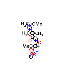 COC[C@H]1CN(c2cc(C)c3c4c(c(=O)oc3c2C)CN(C(=O)c2cc(OC)c(C(=O)NS(=O)(=O)N3CCCC3)cc2F)CC4)CCN1C